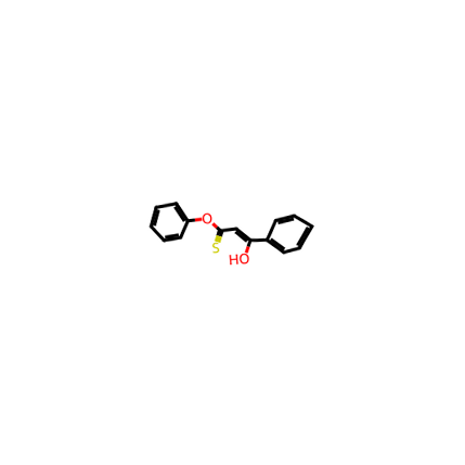 OC(=CC(=S)Oc1ccccc1)c1ccccc1